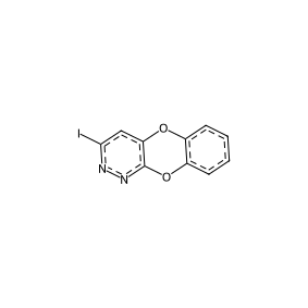 Ic1cc2c(nn1)Oc1ccccc1O2